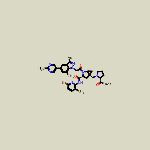 COC(=O)[C@@H]1CCCN1C[C@]12CC1N(C(=O)Cn1nc(C(C)=O)c3cc(-c4cnc(C)nc4)cc(C)c31)[C@H](C(=O)Nc1nc(Br)ccc1C)C2